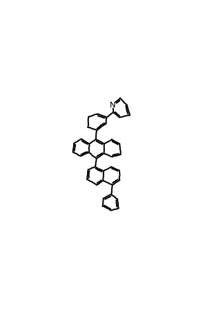 C1=C(c2ccccn2)C=C(c2c3ccccc3c(-c3cccc4c(-c5ccccc5)cccc34)c3ccccc23)CC1